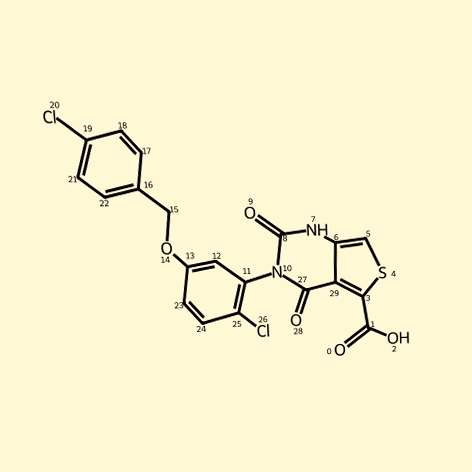 O=C(O)c1scc2[nH]c(=O)n(-c3cc(OCc4ccc(Cl)cc4)ccc3Cl)c(=O)c12